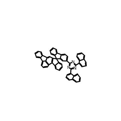 c1ccc2c(c1)-c1cccc3c4c(cc-2c13)C1(c2ccccc2-c2ccc(-c3nc(-c5cccc6ccccc56)nc(-c5cccc6ccccc56)n3)cc21)c1ccccc1-4